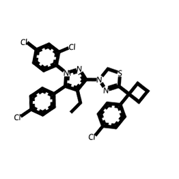 CCc1c(N2CSC(C3(c4ccc(Cl)cc4)CCC3)=N2)nn(-c2ccc(Cl)cc2Cl)c1-c1ccc(Cl)cc1